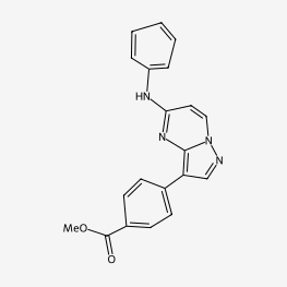 COC(=O)c1ccc(-c2cnn3ccc(Nc4ccccc4)nc23)cc1